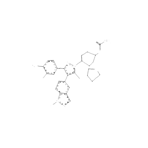 Cn1ncc2cc(-c3c(-c4ccc(C#N)c(F)c4)nn(C4CCC(OC(N)=O)CC4)c3O[C@H]3CCOC3)ccc21